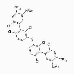 CNc1cc(-c2c(Cl)ccc(Sc3ccc(Cl)c(-c4cc(NC)c([N+](=O)[O-])cc4Cl)c3Cl)c2Cl)c(Cl)cc1[N+](=O)[O-]